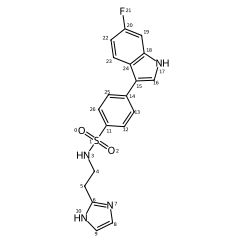 O=S(=O)(NCCc1ncc[nH]1)c1ccc(-c2c[nH]c3cc(F)ccc23)cc1